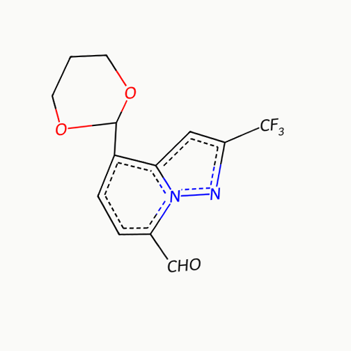 O=Cc1ccc(C2OCCCO2)c2cc(C(F)(F)F)nn12